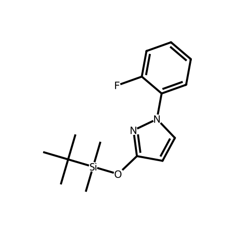 CC(C)(C)[Si](C)(C)Oc1ccn(-c2ccccc2F)n1